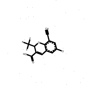 C#Cc1cc(Cl)cc2c1OC(C(F)(F)F)C(C(=O)O)=C2